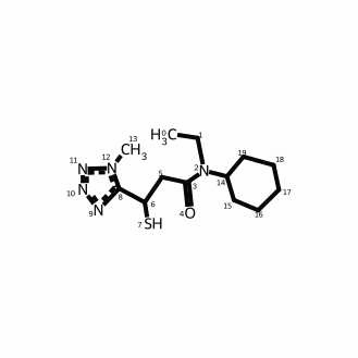 CCN(C(=O)CC(S)c1nnnn1C)C1CCCCC1